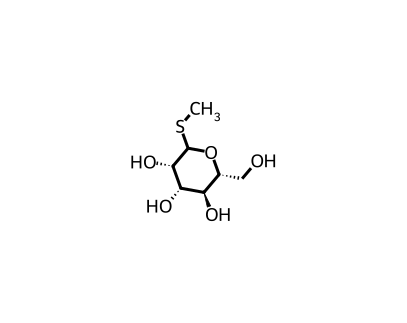 CSC1O[C@H](CO)[C@@H](O)[C@H](O)[C@@H]1O